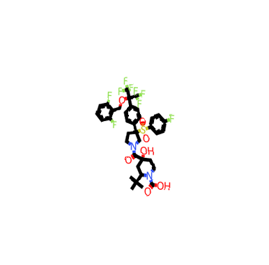 CC(C)(C)C1CC(O)(C(=O)N2CCC(c3ccc(C(OCc4c(F)cccc4F)(C(F)(F)F)C(F)(F)F)cc3)(S(=O)(=O)c3ccc(F)cc3)C2)CCN1C(=O)O